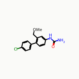 COCc1cc(NC(N)=O)ccc1-c1ccc(Cl)cc1